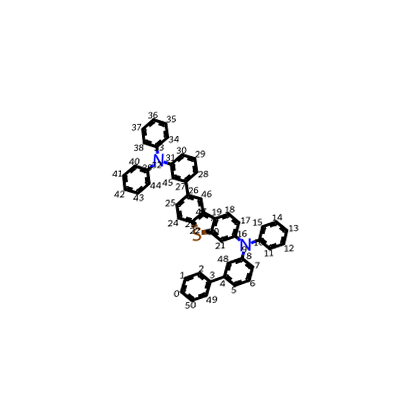 c1ccc(-c2cccc(N(c3ccccc3)c3ccc4c(c3)sc3ccc(-c5cccc(N(c6ccccc6)c6ccccc6)c5)cc34)c2)cc1